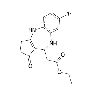 CCOC(=O)CC1Nc2cc(Br)ccc2NC2=C1C(=O)CC2